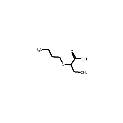 CCCCOC(CC)C(=O)O